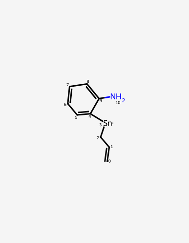 C=C[CH2][Sn][c]1ccccc1N